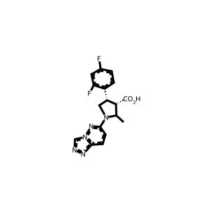 CC1[C@@H](C(=O)O)[C@@H](c2ccc(F)cc2F)CN1c1ccc2nncn2n1